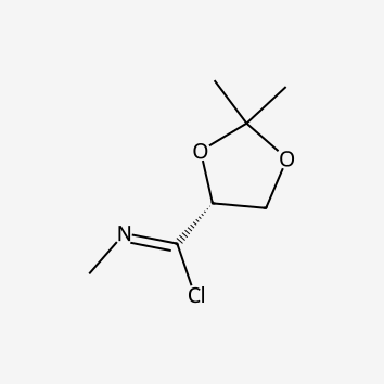 C/N=C(\Cl)[C@H]1COC(C)(C)O1